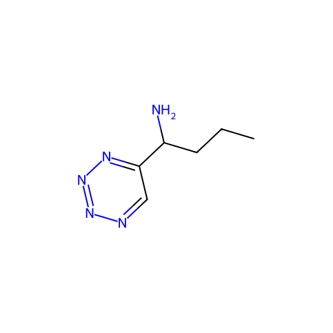 CCCC(N)c1cnnnn1